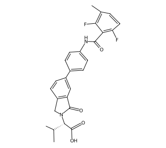 Cc1ccc(F)c(C(=O)Nc2ccc(-c3ccc4c(c3)C(=O)N([C@H](C(=O)O)C(C)C)C4)cc2)c1F